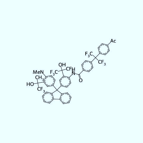 CNc1ccc(C2(c3ccc(NC(=O)c4ccc(C(c5ccc(C(C)=O)cc5)(C(F)(F)F)C(F)(F)F)cc4)c(C(O)(C(F)(F)F)C(F)(F)F)c3)c3ccccc3-c3ccccc32)cc1C(C)(O)C(F)(F)F